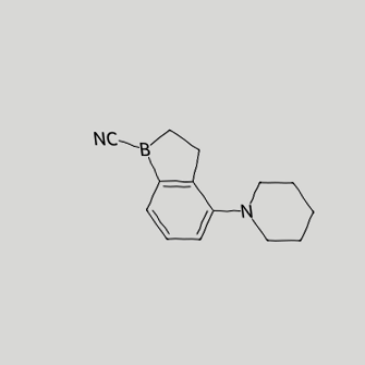 N#CB1CCc2c1cccc2N1CCCCC1